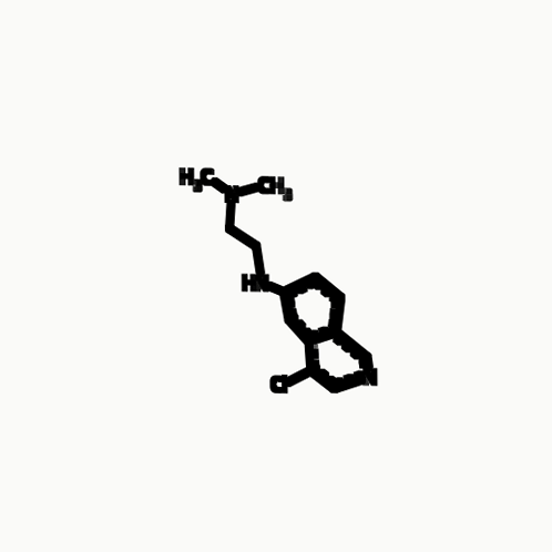 CN(C)CCNc1ccc2cncc(Cl)c2c1